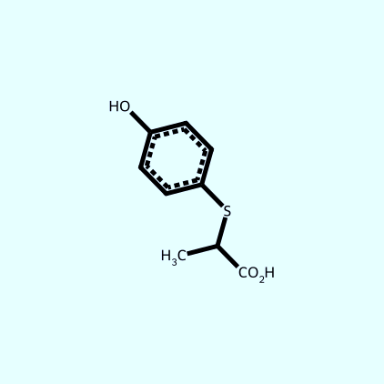 CC(Sc1ccc(O)cc1)C(=O)O